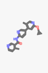 Cc1ccncc1C(=O)Nc1ccc(-c2cc(OC3CC3)ncc2C)cn1